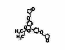 CCC(C)C(=O)OC(c1ccc(OCC2CCC3OC23)cc1)c1ccc(OCC2CCC3OC23)cc1